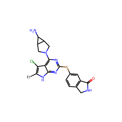 CCc1[nH]c2nc(Sc3ccc4c(c3)C(=O)NC4)nc(N3CC4C(N)C4C3)c2c1Cl